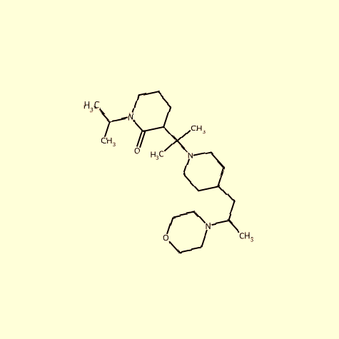 CC(CC1CCN(C(C)(C)C2CCCN(C(C)C)C2=O)CC1)N1CCOCC1